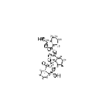 O=C(OC(=O)C1CCCCC1C(=O)O)c1ccccc1C(=O)OC(=O)C1CCCCC1C(=O)O